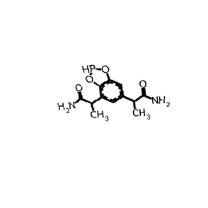 CC(C(N)=O)c1cc2c(c(C(C)C(N)=O)c1)OPO2